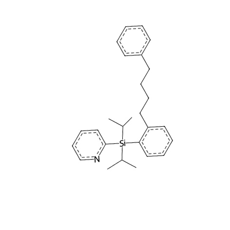 CC(C)[Si](c1ccccn1)(c1ccccc1CCCCc1ccccc1)C(C)C